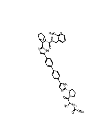 COC(=O)N[C@H](C(=O)N1CCC[C@H]1c1ncc(-c2ccc(-c3ccc(-c4cnc([C@H]5C6CCC(C6)[C@@H]5C(=O)NCc5cccnc5OC)[nH]4)cc3)cc2)[nH]1)C(C)C